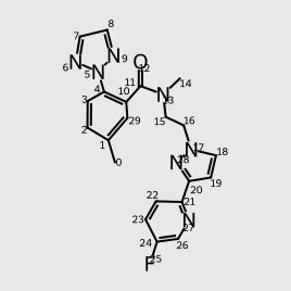 Cc1ccc(-n2nccn2)c(C(=O)N(C)CCn2ccc(-c3ccc(F)cn3)n2)c1